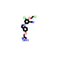 N#Cc1cc(-n2ccc3cc(OCc4c[nH]nn4)ccc32)cc(Cl)c1OCCCl